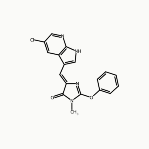 CN1C(=O)/C(=C/c2c[nH]c3ncc(Cl)cc23)N=C1Oc1ccccc1